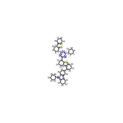 c1ccc(-c2nc(-c3cccc4c3sc3ccccc34)nc(-c3cccc4c3sc3cccc(-c5ccc6c(c5)c5ccccc5n6-c5ccccc5)c34)n2)cc1